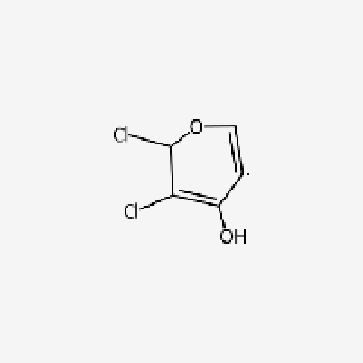 OC1=C(Cl)C(Cl)OC=[C]1